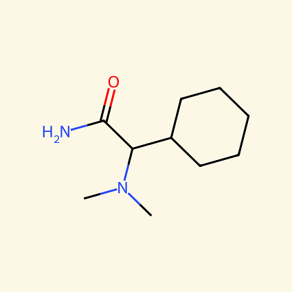 CN(C)C(C(N)=O)C1CCCCC1